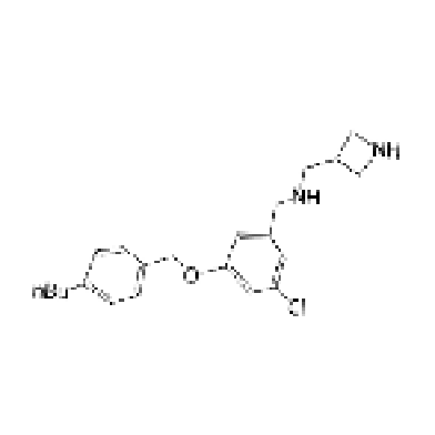 CCCCc1ccc(COc2cc(Cl)cc(CNCC3CNC3)c2)cc1